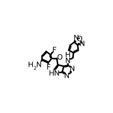 Nc1ccc(F)c(C(=O)c2c[nH]c3ncnc(NCc4ccc5nonc5c4)c23)c1F